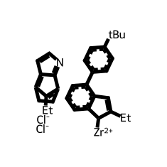 CCC1=C2CCC1=C1C=CN=C12.CCC1=Cc2c(-c3ccc(C(C)(C)C)cc3)cccc2[CH]1[Zr+2].[Cl-].[Cl-]